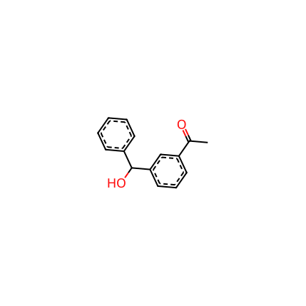 CC(=O)c1cccc(C(O)c2ccccc2)c1